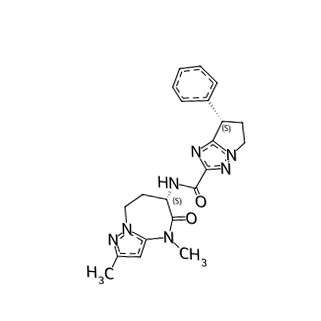 Cc1cc2n(n1)CC[C@H](NC(=O)c1nc3n(n1)CC[C@H]3c1ccccc1)C(=O)N2C